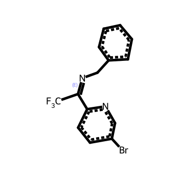 FC(F)(F)/C(=N/Cc1ccccc1)c1ccc(Br)cn1